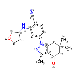 Cc1nn(-c2ccc(C#N)c(NC3CCOC3)c2)c2c1C(=O)CC(C)(C)C2